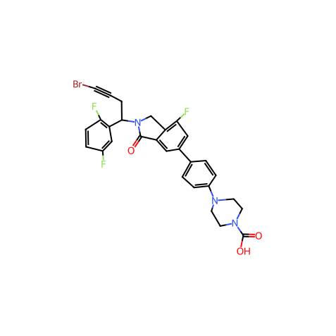 O=C(O)N1CCN(c2ccc(-c3cc(F)c4c(c3)C(=O)N(C(CC#CBr)c3cc(F)ccc3F)C4)cc2)CC1